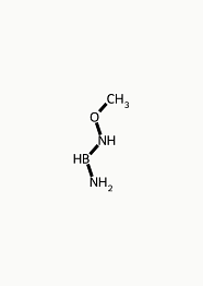 CONBN